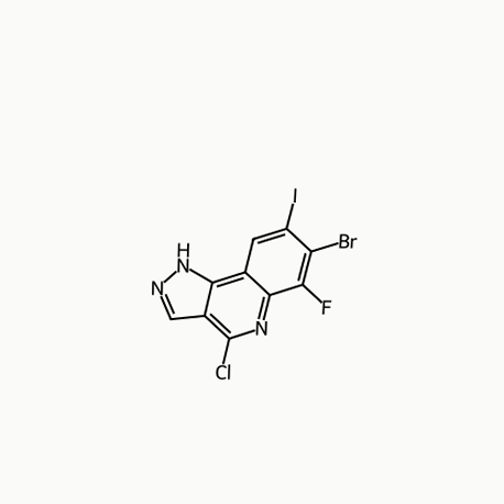 Fc1c(Br)c(I)cc2c1nc(Cl)c1cn[nH]c12